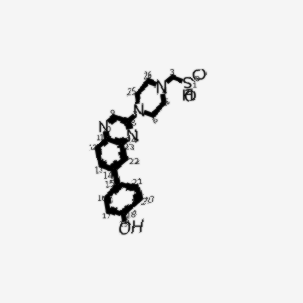 O=[SH](=O)CN1CCN(c2cnc3ccc(-c4ccc(O)cc4)cc3n2)CC1